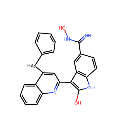 N=C(NO)c1ccc2[nH]c(O)c(-c3cc([AsH]c4ccccc4)c4ccccc4n3)c2c1